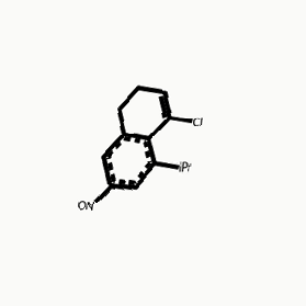 CC(C)c1cc(N=O)cc2c1C(Cl)=CCC2